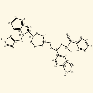 CN(CC(CCN1CCCN(c2nc3ccccc3n2Cc2ccoc2)CC1)c1ccc2c(c1)OCO2)C(=O)c1ccccc1